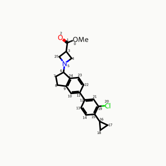 COC(=O)C1CN(C2CCc3cc(-c4ccc(C5CC5)c(Cl)c4)ccc32)C1